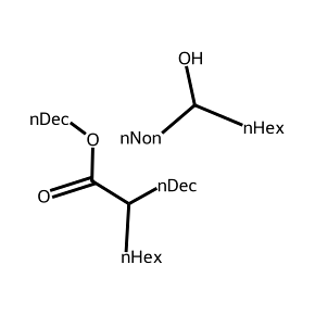 CCCCCCCCCC(O)CCCCCC.CCCCCCCCCCOC(=O)C(CCCCCC)CCCCCCCCCC